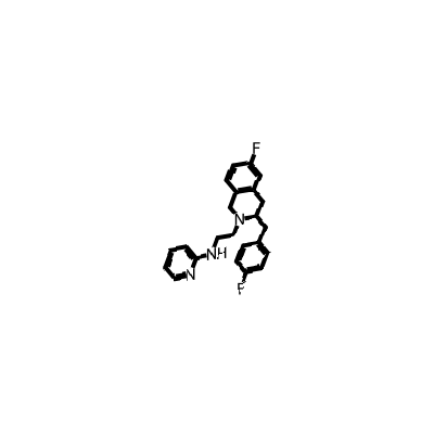 Fc1ccc(CC2Cc3cc(F)ccc3CN2CCNc2ccccn2)cc1